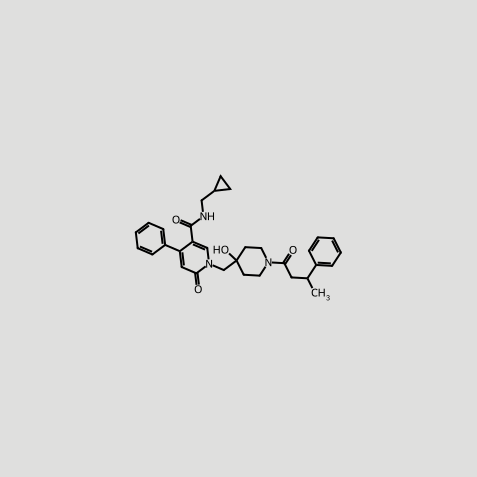 CC(CC(=O)N1CCC(O)(Cn2cc(C(=O)NCC3CC3)c(-c3ccccc3)cc2=O)CC1)c1ccccc1